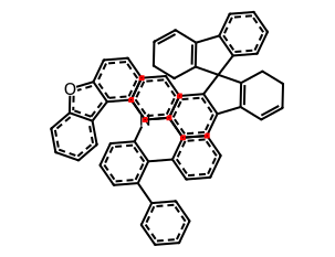 C1=CC2=C(CC1)C1(C3=C(C=CCC3)c3ccc(N(c4cccc(-c5ccccc5)c4-c4ccccc4-c4ccccc4)c4cccc5oc6ccccc6c45)cc31)c1ccccc12